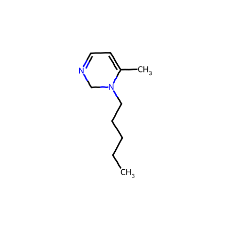 CCCCCN1CN=CC=C1C